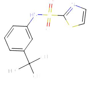 CC(C)(C)c1cccc(NS(=O)(=O)c2nccs2)c1